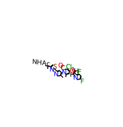 [2H]C([2H])(OC1=C(Cl)C(=C=O)N(c2cc(-c3nc(C(C)(C)NC(C)=O)cs3)ncc2C)C(C)=C1)c1ncc(F)cc1F